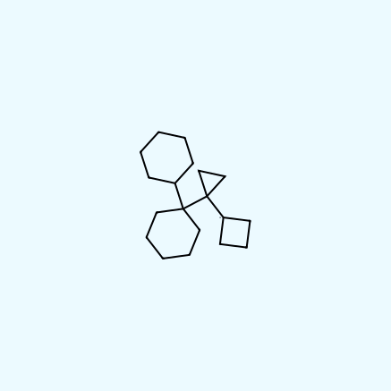 C1CCC(C2(C3([C]4CCC4)CC3)CCCCC2)CC1